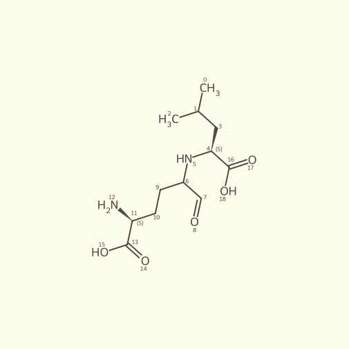 CC(C)C[C@H](NC(C=O)CC[C@H](N)C(=O)O)C(=O)O